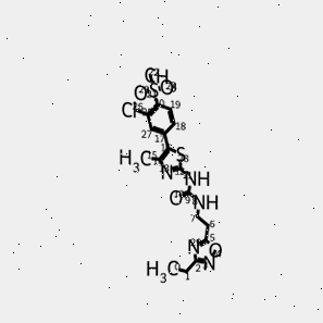 CCc1noc(CCNC(=O)Nc2nc(C)c(-c3ccc(S(C)(=O)=O)c(Cl)c3)s2)n1